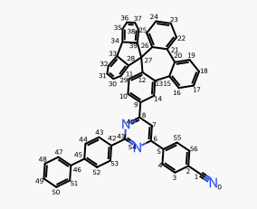 N#Cc1ccc(-c2cc(-c3ccc4c(c3)-c3ccccc3-c3ccccc3C43c4ccccc4-c4ccccc43)nc(-c3ccc(-c4ccccc4)cc3)n2)cc1